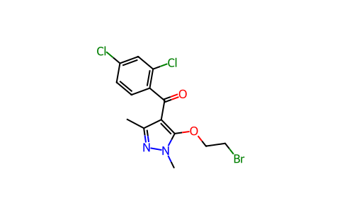 Cc1nn(C)c(OCCBr)c1C(=O)c1ccc(Cl)cc1Cl